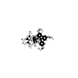 CCOP(OC(CC)(CC)C(COC(c1ccc(OC)cc1)(c1ccc(OC)cc1)c1ccc(OC)cc1)(C(=O)O)C(=O)O)N(C(C)C)C(C)C